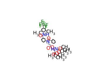 Cc1cc(C(F)(C(F)(F)F)C(F)(F)F)cc(C)c1NC(=O)c1cccc(N(CCC(=O)OCC(NC(=O)OC(C)(C)C)C(=O)OC(C)(C)C)C(=O)c2ccccc2)c1